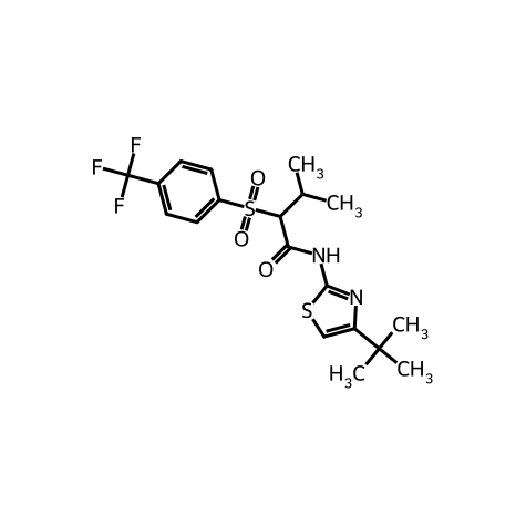 CC(C)C(C(=O)Nc1nc(C(C)(C)C)cs1)S(=O)(=O)c1ccc(C(F)(F)F)cc1